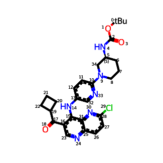 CC(C)(C)OC(=O)N[C@H]1CCCN(c2ccc(Nc3c(C(=O)C4CCC4)cnc4ccc(Cl)nc34)cn2)C1